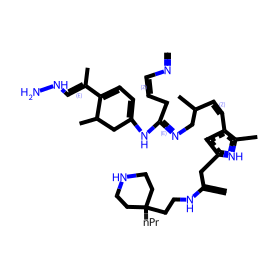 C=N/C=C\C/C(=N\CC(C)/C=C\c1cc(CC(=C)NCCC2(CCC)CCNCC2)[nH]c1C)NC1=CC=C(/C(C)=C/NN)C(C)C1